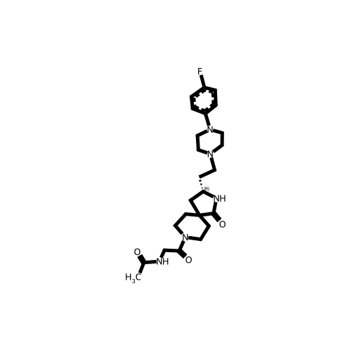 CC(=O)NCC(=O)N1CCC2(CC1)C[C@H](CCN1CCN(c3ccc(F)cc3)CC1)NC2=O